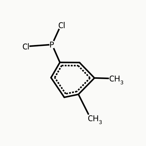 Cc1ccc(P(Cl)Cl)cc1C